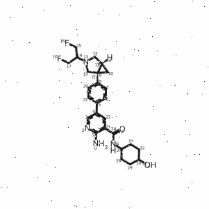 Nc1ncc(-c2ccc([C@]34C[C@H]3CN(C(CF)CF)C4)cc2)cc1C(=O)NC1CCC(O)CC1